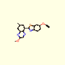 C#COc1ccc2nc(-c3cc(C)cc4nc(OC)cnc34)sc2c1